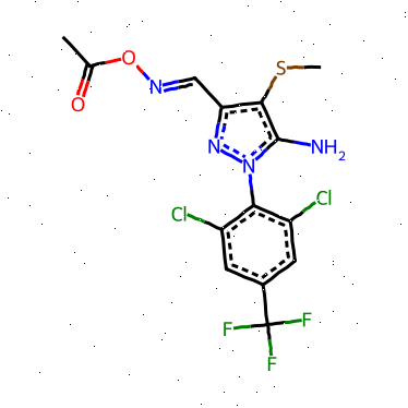 CSc1c(C=NOC(C)=O)nn(-c2c(Cl)cc(C(F)(F)F)cc2Cl)c1N